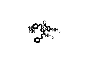 Cn1nnc2cc(CNC(=O)C3CC(N)CN3C(=O)C(N)CCc3ccccc3)ccc21